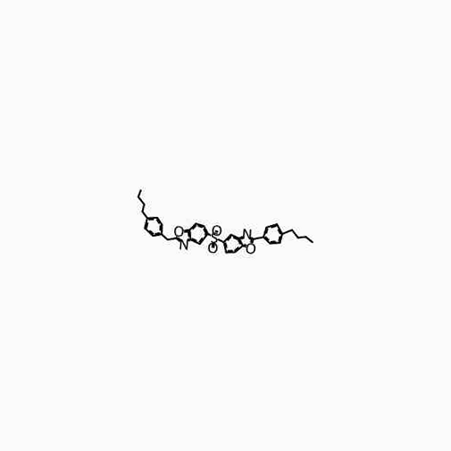 CCCCc1ccc(Cc2nc3cc(S(=O)(=O)c4ccc5oc(-c6ccc(CCCC)cc6)nc5c4)ccc3o2)cc1